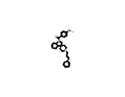 O=C(c1ccc([N+](=O)[O-])cc1)N1CC2(CCN(CC=Cc3ccccc3)CC2)c2ccccc21